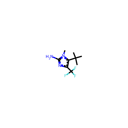 Cn1c(N)nc(C(F)(F)F)c1C(C)(C)C